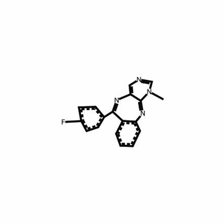 CN1C=NC=C2N=C(c3ccc(F)cc3)c3ccccc3N=C21